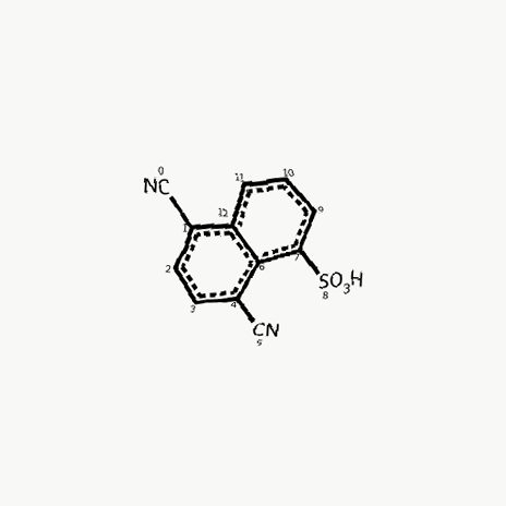 N#Cc1ccc(C#N)c2c(S(=O)(=O)O)cccc12